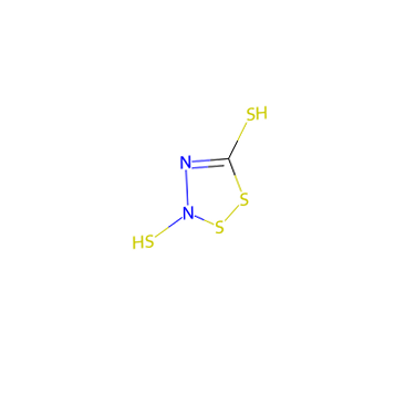 SC1=NN(S)SS1